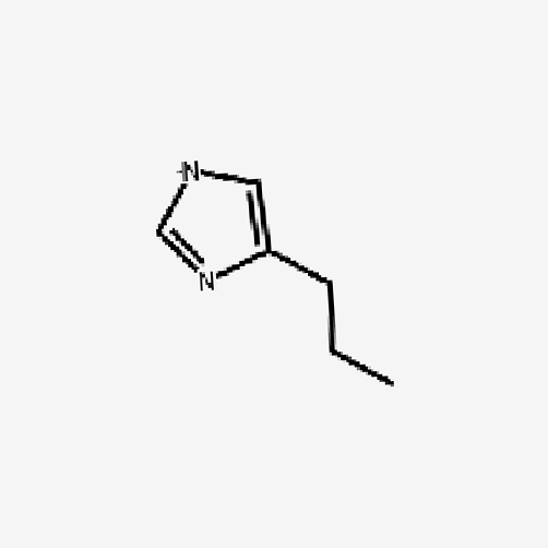 CCCC1=C[N]C=N1